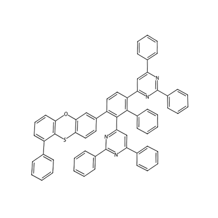 c1ccc(-c2cc(-c3ccc(-c4ccc5c(c4)Oc4cccc(-c6ccccc6)c4S5)c(-c4cc(-c5ccccc5)nc(-c5ccccc5)n4)c3-c3ccccc3)nc(-c3ccccc3)n2)cc1